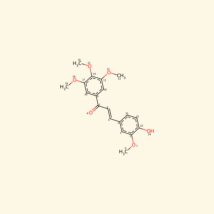 COc1cc(/C=C/C(=O)c2cc(OC)c(OC)c(OC)c2)ccc1O